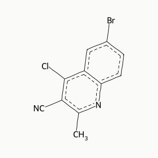 Cc1nc2ccc(Br)cc2c(Cl)c1C#N